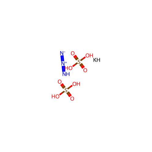 O=S(=O)(O)O.O=S(=O)(O)O.[KH].[N-]=[N+]=N